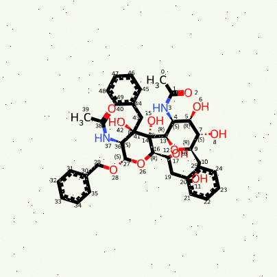 CC(=O)N[C@H]1[C@@H](O)[C@H](O)[C@@H](CO)O[C@H]1[C@@]1(O)[C@@H](C(O)Cc2ccccc2)O[C@H](OCc2ccccc2)[C@@H](NC(C)=O)[C@]1(O)Cc1ccccc1